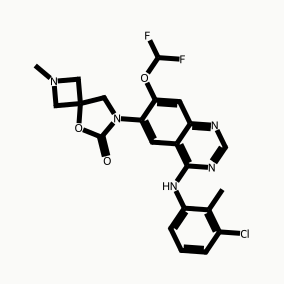 Cc1c(Cl)cccc1Nc1ncnc2cc(OC(F)F)c(N3CC4(CN(C)C4)OC3=O)cc12